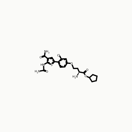 NC(=O)Nc1sc(-c2ccc(OCC[C@H](N)C(=O)OC3CCCC3)cc2Cl)cc1C(N)=O